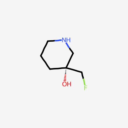 O[C@]1(CF)CCCNC1